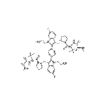 CN[C@@H](C)C(=O)N[C@H](C(=O)N1CCCC1Cc1c(-c2ccc(-c3c(C[C@@H]4CCCN4C(=O)[C@@H](NC(=O)[C@H](C)NC)C(C)(C)C)c4ccc(F)cc4n3CCO)cc2)n(CCO)c2cc(F)ccc12)C(C)(C)C